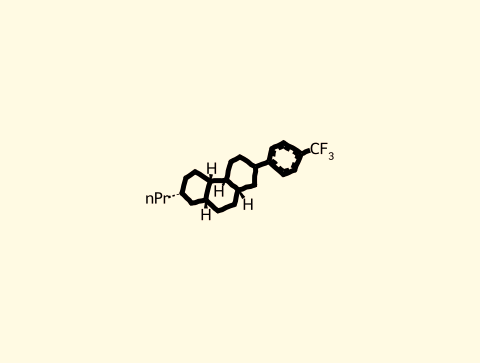 CCC[C@@H]1CC[C@H]2[C@H](CC[C@H]3CC(c4ccc(C(F)(F)F)cc4)CC[C@@H]32)C1